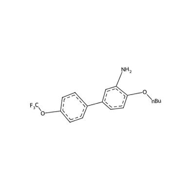 CCCCOc1ccc(-c2ccc(OC(F)(F)F)cc2)cc1N